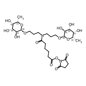 C[C@@H]1O[C@@H](OCCCN(CCCO[C@@H]2O[C@@H](C)[C@@H](O)[C@@H](O)[C@@H]2O)C(=O)CCCCC(=O)ON2C(=O)CCC2=O)[C@@H](O)[C@H](O)[C@@H]1O